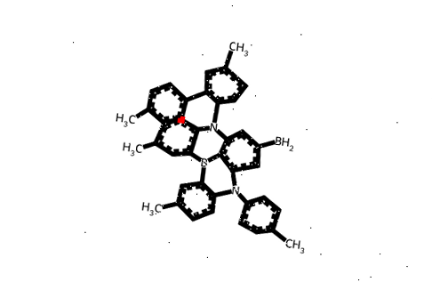 Bc1cc2c3c(c1)N(c1ccc(C)cc1-c1ccc(C)cc1)c1ccc(C)cc1B3c1cc(C)ccc1N2c1ccc(C)cc1